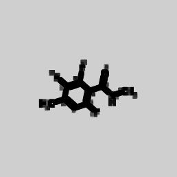 CNC(=O)c1c(F)cc(C)c(F)c1F